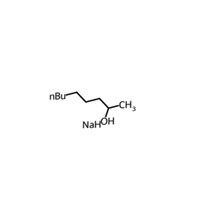 CCCCCCCC(C)O.[NaH]